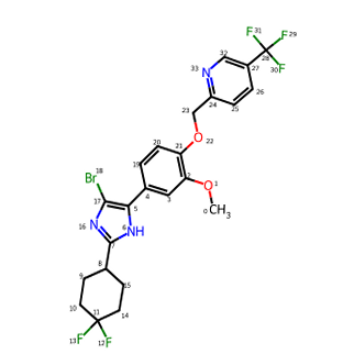 COc1cc(-c2[nH]c(C3CCC(F)(F)CC3)nc2Br)ccc1OCc1ccc(C(F)(F)F)cn1